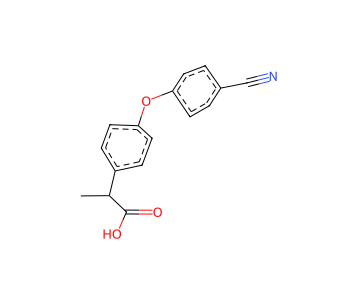 CC(C(=O)O)c1ccc(Oc2ccc(C#N)cc2)cc1